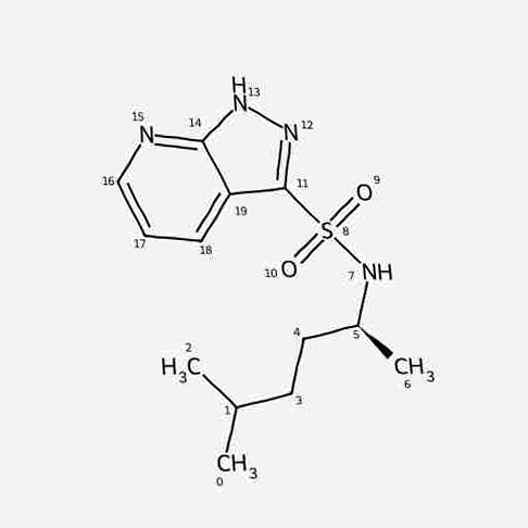 CC(C)CC[C@H](C)NS(=O)(=O)c1n[nH]c2ncccc12